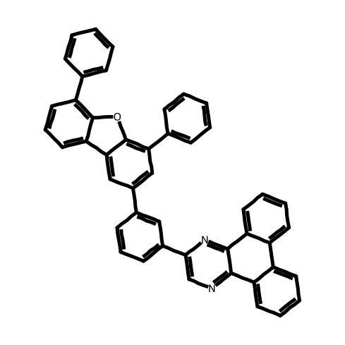 c1ccc(-c2cccc3c2oc2c(-c4ccccc4)cc(-c4cccc(-c5cnc6c7ccccc7c7ccccc7c6n5)c4)cc23)cc1